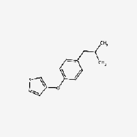 CC(C)Cc1ccc(Oc2ccsc2)cc1